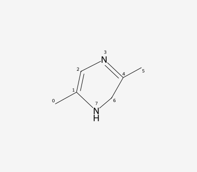 CC1=CN=C(C)CN1